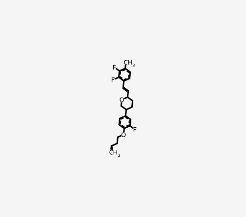 C=CCCOc1ccc(C2CCC(/C=C/c3ccc(C)c(F)c3F)OC2)cc1F